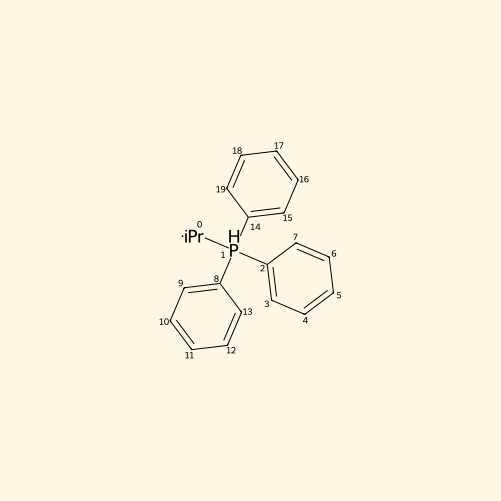 C[C](C)[PH](c1ccccc1)(c1ccccc1)c1ccccc1